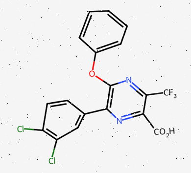 O=C(O)c1nc(-c2ccc(Cl)c(Cl)c2)c(Oc2ccccc2)nc1C(F)(F)F